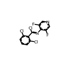 Fc1cncc(F)c1/N=C(\Cl)c1c(Cl)cccc1Cl